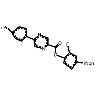 CCCCCCCCCc1ccc(OC(=O)c2cnc(-c3ccc(CCC)cc3)cn2)c(F)c1